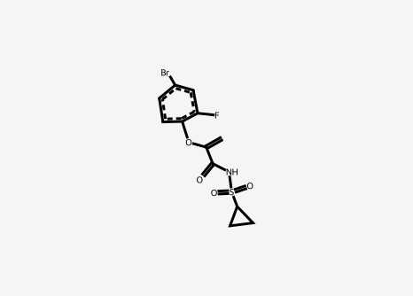 C=C(Oc1ccc(Br)cc1F)C(=O)NS(=O)(=O)C1CC1